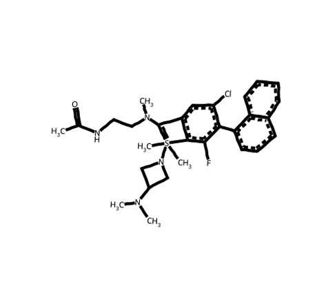 CC(=O)NCCN(C)C1=S(C)(C)(N2CC(N(C)C)C2)c2c1cc(Cl)c(-c1cccc3ccccc13)c2F